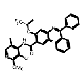 COc1ncc(C)c(NC(=O)c2cc(F)c(N=C(c3ccccc3)c3ccccc3)cc2O[C@@H](C)C(F)(F)F)c1Cl